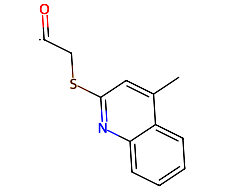 Cc1cc(SC[C]=O)nc2ccccc12